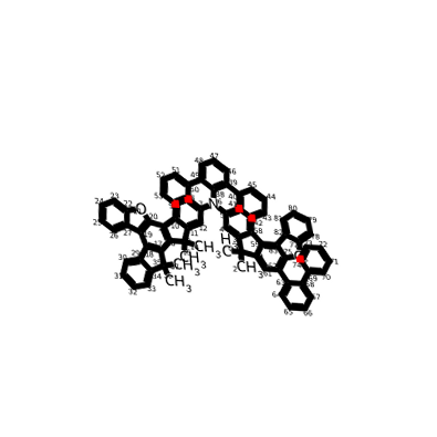 CC1(C)c2cc(N(c3ccc4c(c3)C(C)(C)c3c5c(c6c(oc7ccccc76)c3-4)-c3ccccc3C5(C)C)c3c(-c4ccccc4)cccc3-c3ccccc3)ccc2-c2c1cc(-c1ccccc1-c1ccccc1)c1oc3ccccc3c21